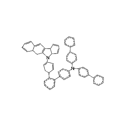 C1=CC2=CC3=C(CC2C=C1)N(C1=CCC(c2ccccc2-c2ccc(N(c4ccc(-c5ccccc5)cc4)c4ccc(-c5ccccc5)cc4)cc2)C=C1)C1C=CC=CC31